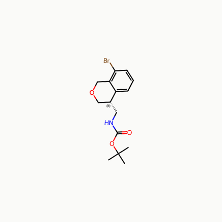 CC(C)(C)OC(=O)NC[C@@H]1COCc2c(Br)cccc21